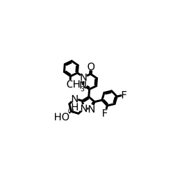 Cc1ccccc1-n1nc(-c2c(-c3ccc(F)cc3F)nn3c2NC[C@H](O)C3)ccc1=O